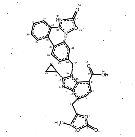 Cc1oc(=O)oc1Cc1ccc(C(=O)O)c2c1nc(C1CC1)n2Cc1ccc(-c2ccccc2-c2noc(=O)[nH]2)cc1